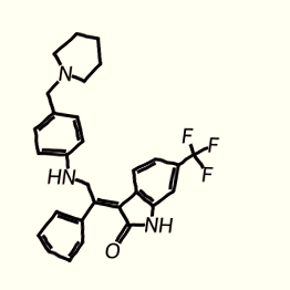 O=C1Nc2cc(C(F)(F)F)ccc2C1=C(CNc1ccc(CN2CCCCC2)cc1)c1ccccc1